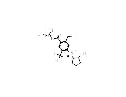 CCc1cc(S(=O)(=O)C2CCCC2C)c(C(F)(F)F)cc1C(=O)N=C(N)N